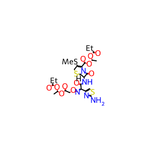 CCC(=O)OC(C)OC(=O)CO/N=C(\C(=O)NC1C(=O)N2C(C(=O)OC(C)OC(=O)CC)=C(SC)CS[C@H]12)c1csc(N)n1